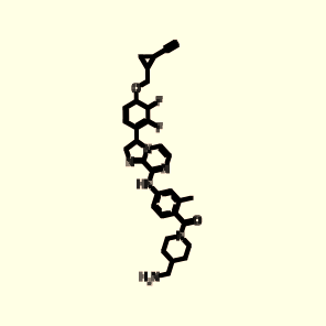 C#CC1CC1COC1C=CC(C2CN=C3C(Nc4ccc(C(=O)N5CCC(CN)CC5)c(C)c4)=NC=CN32)=C(F)C1F